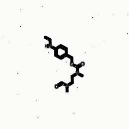 CCNc1ccc(COC(=O)N(C)CCN(C)C=O)cc1